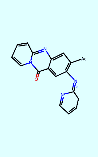 CC(=O)c1cc2nc3ccccn3c(=O)c2cc1/N=C1/CC=CC=N1